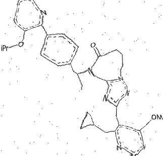 COc1ncnc(C2CC2)c1-c1nc2n(n1)CCC(=O)N2C(C)c1ccc(-c2ncccc2OC(C)C)cc1